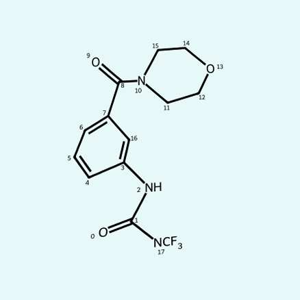 O=C(Nc1cccc(C(=O)N2CCOCC2)c1)NC(F)(F)F